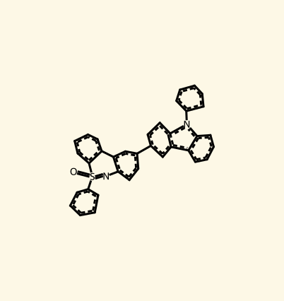 O=S1(c2ccccc2)=Nc2ccc(-c3ccc4c(c3)c3ccccc3n4-c3ccccc3)cc2-c2ccccc21